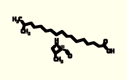 CC(C)CCCCCCCCCCCCCCC(=O)O.CC1CN[C@@H]1C=O